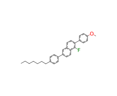 CCCCCCCc1ccc(-c2ccc3c(F)c(-c4ccc(OC)cc4)ccc3c2)cc1